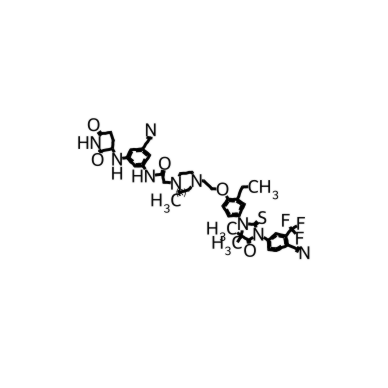 CCc1cc(N2C(=S)N(c3ccc(C#N)c(C(F)(F)F)c3)C(=O)C2(C)C)ccc1OCCN1CCN(CC(=O)Nc2cc(C#N)cc(NC3CCC(=O)NC3=O)c2)[C@H](C)C1